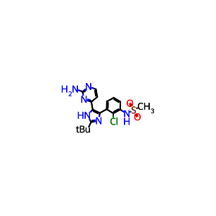 CC(C)(C)c1nc(-c2cccc(NS(C)(=O)=O)c2Cl)c(-c2ccnc(N)n2)[nH]1